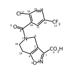 O=C(O)c1noc2c1CN(C(=O)c1cc(C(F)(F)F)ccc1Cl)CC2